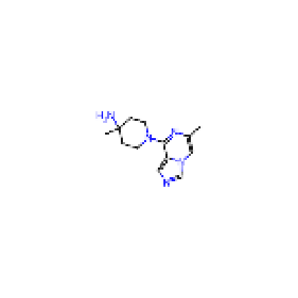 Cc1cn2cncc2c(N2CCC(C)(N)CC2)n1